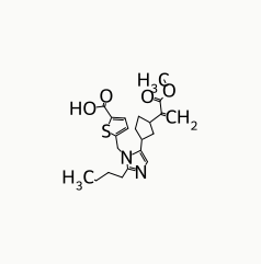 C=C(C(=O)OC)C1CCC(c2cnc(CCCC)n2Cc2ccc(C(=O)O)s2)C1